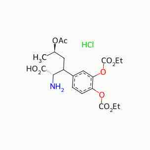 CCOC(=O)Oc1ccc(C(C[C@@H](C)OC(C)=O)[C@H](N)C(=O)O)cc1OC(=O)OCC.Cl